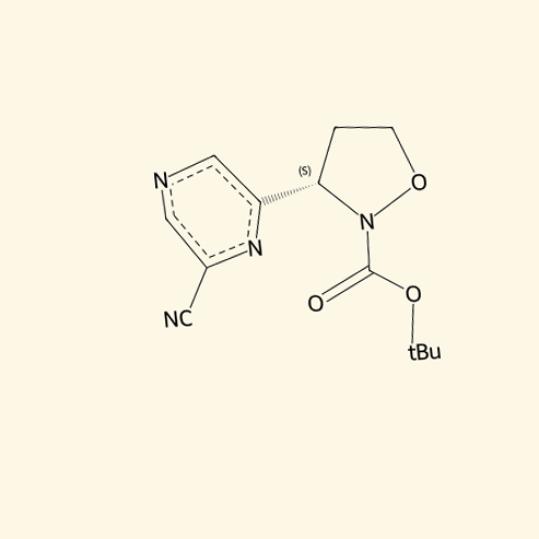 CC(C)(C)OC(=O)N1OCC[C@H]1c1cncc(C#N)n1